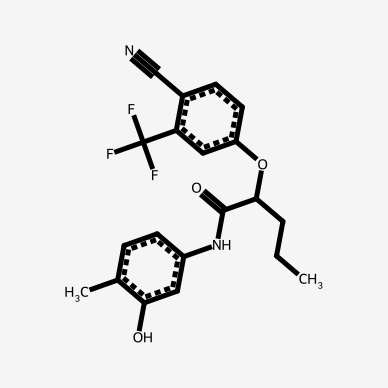 CCCC(Oc1ccc(C#N)c(C(F)(F)F)c1)C(=O)Nc1ccc(C)c(O)c1